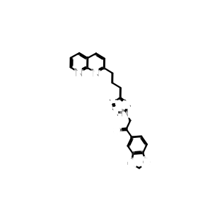 O=C(Cn1nnc(CCCc2ccc3cccnc3n2)n1)c1ccc2c(c1)OCO2